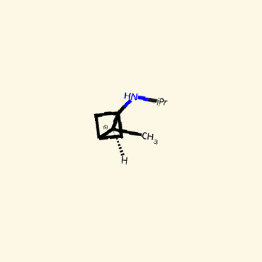 CC(C)NC12CC(C1)[C@@H]2C